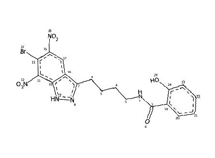 O=C(NCCCCc1n[nH]c2c([N+](=O)[O-])c(Br)c([N+](=O)[O-])cc12)c1ccccc1O